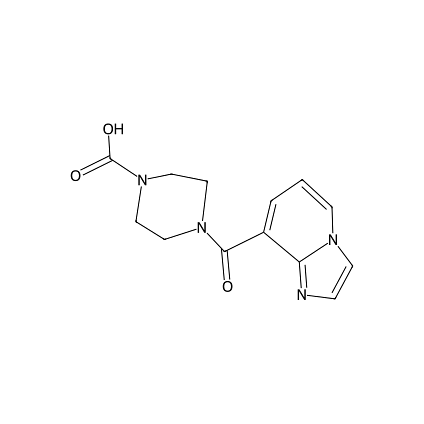 O=C(O)N1CCN(C(=O)c2cccn3ccnc23)CC1